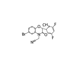 C[C@@]1(C2C=C(F)C=C(F)C2)Oc2ccc(Br)cc2N(CC#N)C1=O